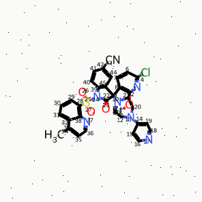 CCOc1nc(Cl)ccc1C1(N2CCN(c3ccncc3)CC2)C(=O)N(S(=O)(=O)c2cccc3c(C)ccnc23)c2ccc(C#N)cc21